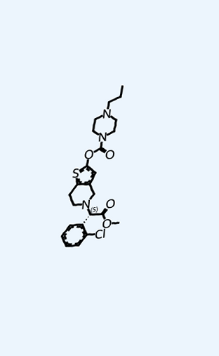 CCCN1CCN(C(=O)Oc2cc3c(s2)CCN([C@H](C(=O)OC)c2ccccc2Cl)C3)CC1